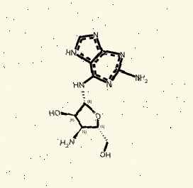 Nc1nc(N[C@@H]2O[C@H](CO)[C@@H](N)[C@H]2O)c2[nH]cnc2n1